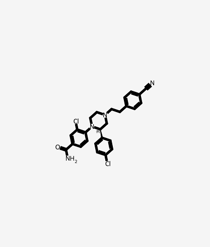 N#Cc1ccc(CCN2CCN(c3ccc(C(N)=O)cc3Cl)[C@H](c3ccc(Cl)cc3)C2)cc1